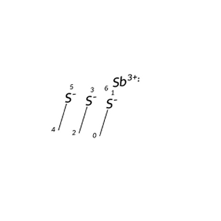 C[S-].C[S-].C[S-].[Sb+3]